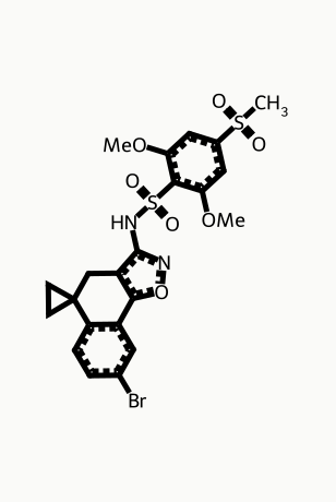 COc1cc(S(C)(=O)=O)cc(OC)c1S(=O)(=O)Nc1noc2c1CC1(CC1)c1ccc(Br)cc1-2